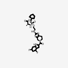 C[C@H](NP(=O)(OCCNc1nc2c(s1)CN(C(=O)c1cc3c(F)cc(F)cc3[nH]1)CC2)Oc1ccccc1)C(=O)O